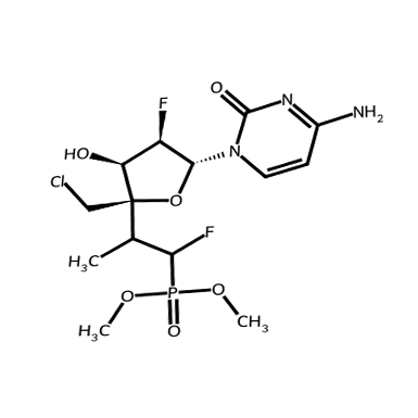 COP(=O)(OC)C(F)C(C)[C@@]1(CCl)O[C@@H](n2ccc(N)nc2=O)[C@H](F)[C@@H]1O